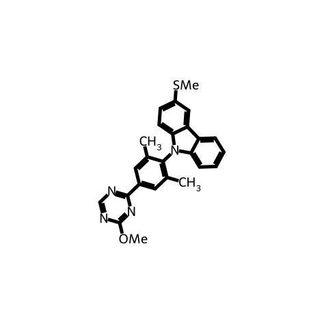 COc1ncnc(-c2cc(C)c(-n3c4ccccc4c4cc(SC)ccc43)c(C)c2)n1